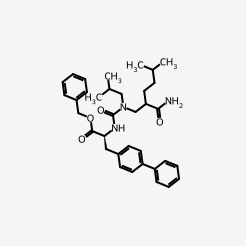 CC(C)CCC(CN(CC(C)C)C(=O)N[C@@H](Cc1ccc(-c2ccccc2)cc1)C(=O)OCc1ccccc1)C(N)=O